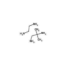 CC(C)(N)CN.NCCN